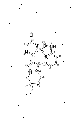 CC1(C)Cn2nc(-c3ccc(Cl)cn3)c(-c3ccnc4[nH]ncc34)c2CO1